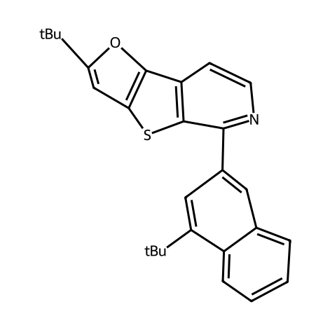 CC(C)(C)c1cc2sc3c(-c4cc(C(C)(C)C)c5ccccc5c4)nccc3c2o1